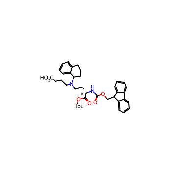 CC(C)(C)OC(=O)[C@H](CCN(CCCC(=O)O)C1CCCc2ccccc21)NC(=O)OCC1c2ccccc2-c2ccccc21